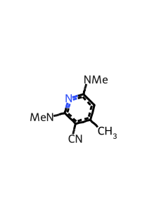 CNc1cc(C)c(C#N)c(NC)n1